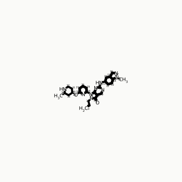 C=CCn1c(=O)c2cnc(Nc3ccc4c(cnn4C)c3)nc2n1-c1cccc(O[C@@H]2CCN[C@H](C)C2)n1